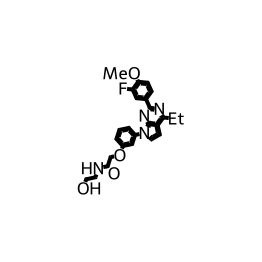 CCc1nc(-c2ccc(OC)c(F)c2)nc2c1ccn2-c1cccc(OCC(=O)NCCO)c1